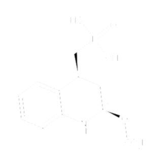 O=C(O)O[C@@H]1C[C@H](CP(=O)(O)O)c2ccccc2N1